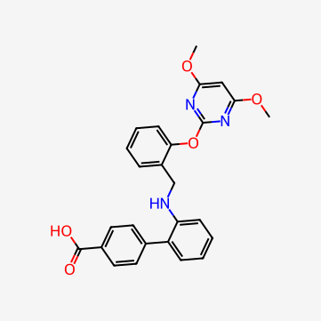 COc1cc(OC)nc(Oc2ccccc2CNc2ccccc2-c2ccc(C(=O)O)cc2)n1